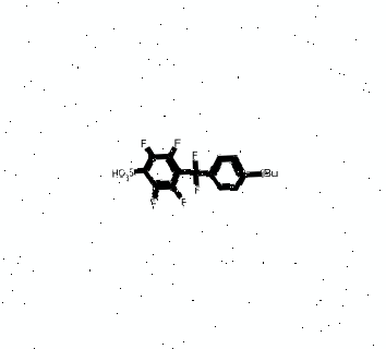 CCC(C)c1ccc(C(F)(F)c2c(F)c(F)c(S(=O)(=O)O)c(F)c2F)cc1